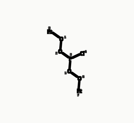 CCOOP(Cl)OOCC